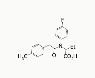 CCC(C(=O)O)N(C(=O)Cc1ccc(C)cc1)c1ccc(F)cc1